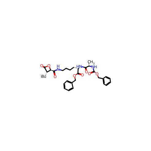 CCC(C)[C@@H]1C(=O)O[C@H]1C(=O)NCCCC[C@H](NC(=O)[C@H](C)NC(=O)OCc1ccccc1)C(=O)OCc1ccccc1